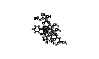 CC(=O)O[C@@]12CO[C@@H]1C[C@@H]1O[C@H](C=C(C)C)O[C@H]3[C@@H](C)C4=C(C)[C@@H](OC(=O)[C@H](O)[C@@H](C)CC(C)C)C[C@@]4(C(C)(C)O)[C@@H](OC(=O)c4ccccc4)[C@H]2[C@@]13C